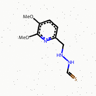 COc1ccc(CNNC=S)nc1OC